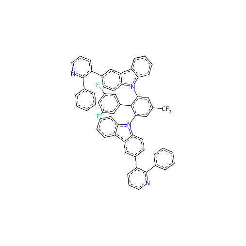 Fc1cc(F)cc(-c2c(-n3c4ccccc4c4cc(-c5cccnc5-c5ccccc5)ccc43)cc(C(F)(F)F)cc2-n2c3ccccc3c3cc(-c4cccnc4-c4ccccc4)ccc32)c1